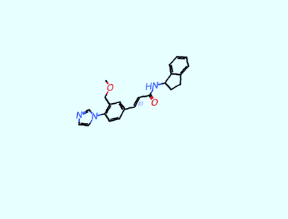 COCc1cc(/C=C/C(=O)NC2CCc3ccccc32)ccc1-n1ccnc1